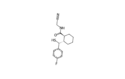 N#CCNC(=O)[C@H]1CCCC[C@@H]1C(S)c1ccc(F)cc1